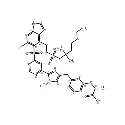 CCCCCC(C)(C)CS(=O)(=O)CCc1c(S(=O)(=O)c2ccnc(-c3nc(Cc4cccc(C[C@H](C)C(=O)O)n4)nn3C)c2)c(F)cc2[nH]ccc12